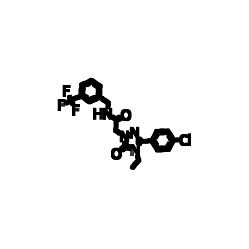 CCn1c(-c2ccc(Cl)cc2)nn(CC(=O)NCc2cccc(C(F)(F)F)c2)c1=O